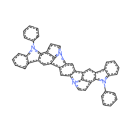 c1ccc(-n2c3ccccc3c3cc4c5cc6c(cc5n5ccc(c32)c45)c2cc3c4ccccc4n(-c4ccccc4)c3c3ccn6c23)cc1